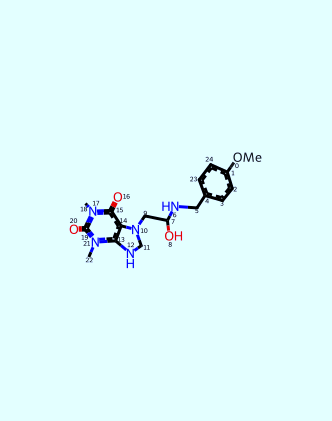 COc1ccc(CNC(O)CN2CNc3c2c(=O)n(C)c(=O)n3C)cc1